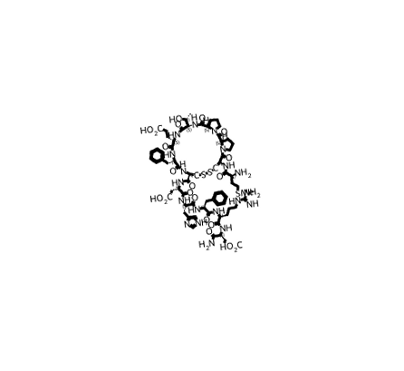 CSCC[C@H](N)C(=O)N[C@H]1CSSC[C@@H](C(=O)N[C@@H](CC(=O)O)C(=O)N[C@@H](Cc2c[nH]cn2)C(=O)N[C@@H](Cc2ccccc2)C(=O)N[C@@H](CCCNC(=N)N)C(=O)N[C@@H](CC(=O)O)C(N)=O)NC(=O)[C@H](Cc2ccccc2)NC(=O)[C@H](CCC(=O)O)NC(=O)[C@H]([C@@H](C)O)NC(=O)[C@@H]2CCCN2C(=O)[C@@H]2CCCN2C1=O